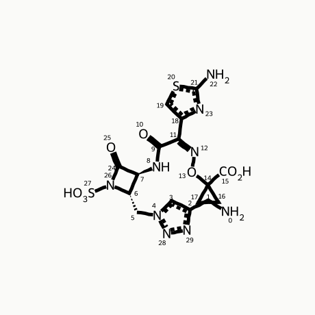 NCc1cn(C[C@H]2[C@H](NC(=O)C(=NOC3(C(=O)O)CC3)c3csc(N)n3)C(=O)N2S(=O)(=O)O)nn1